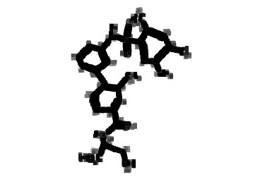 Cc1cc(S(=O)(=O)Nc2cccc(-c3ccc(C(=O)NC(CO)C(=O)O)cc3C)c2)c(C)cc1Cl